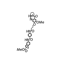 COC(=O)c1cc2cc(NC(=O)c3ccc(NC(=O)CCCOc4cc5c(cc4OC)C(=O)N4CCCC[C@H]4C=N5)cc3)ccc2s1